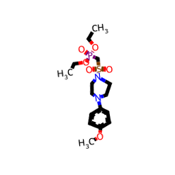 CCOP(=O)(CS(=O)(=O)N1CCN(c2ccc(OC)cc2)CC1)OCC